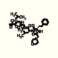 CC(C)C[C@H](NC(=O)[C@H](CCc1ccccc1)NC(=O)CN1CCOCC1)C(=O)NCC(=O)N[C@@H](CC(C)C)C(=O)[C@@]1(C)CO1